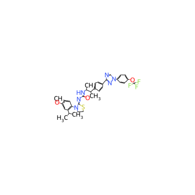 COc1ccc(N2CCS/C2=N\C(=O)NC(C)C(C)c2ccc(-c3ncn(-c4ccc(OC(F)(F)F)cc4)n3)cc2)c(C(C)C)c1